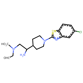 NC(CN(CC=O)C(=O)O)C1CCN(c2nc3cc(Cl)ccc3s2)CC1